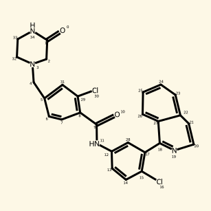 O=C1CN(Cc2ccc(C(=O)Nc3ccc(Cl)c(-c4nccc5ccccc45)c3)c(Cl)c2)CCN1